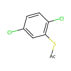 CC(=O)Sc1cc(Cl)ccc1Cl